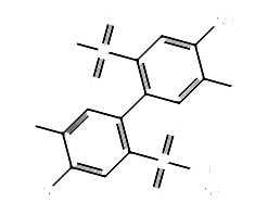 Cc1cc(-c2cc(C)c(N)cc2S(=O)(=O)O)c(S(=O)(=O)O)cc1N.[NaH]